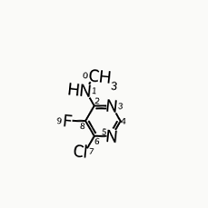 CNc1ncnc(Cl)c1F